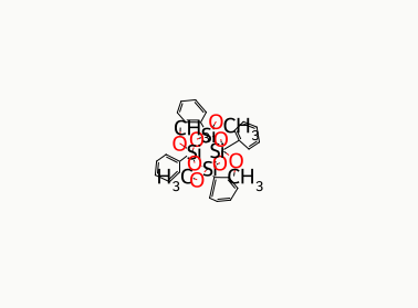 CO[Si]1(c2ccccc2)O[Si](OC)(c2ccccc2)O[Si](OC)(c2ccccc2)O[Si](OC)(c2ccccc2)O1